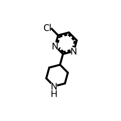 Clc1ccnc(C2CCNCC2)n1